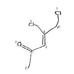 CC(=O)C=C(Cl)CCl